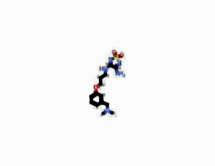 CN(C)Cc1cccc(OCCCNC2=NS(=O)(=O)N=C2N)c1